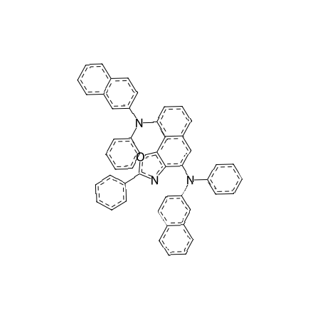 c1ccc(-c2nc3c(N(c4ccccc4)c4ccc5ccccc5c4)cc4cccc(N(c5ccccc5)c5ccc6ccccc6c5)c4c3o2)cc1